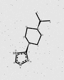 CC(C)[C@H]1CC[C@@H](c2nnc[nH]2)CC1